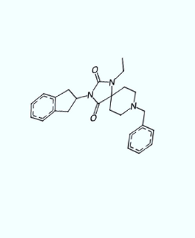 CCN1C(=O)N(C2Cc3ccccc3C2)C(=O)C12CCN(Cc1ccccc1)CC2